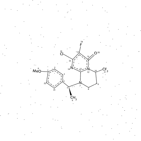 COc1ccc([C@H](C)N2CCC(C(F)(F)F)n3c2nc(Cl)c(F)c3=O)cc1